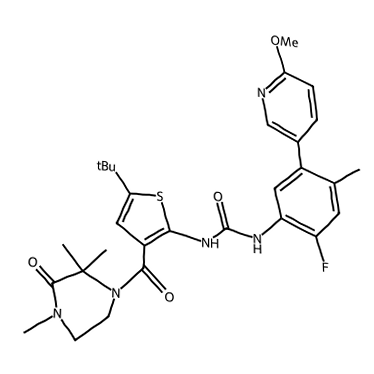 COc1ccc(-c2cc(NC(=O)Nc3sc(C(C)(C)C)cc3C(=O)N3CCN(C)C(=O)C3(C)C)c(F)cc2C)cn1